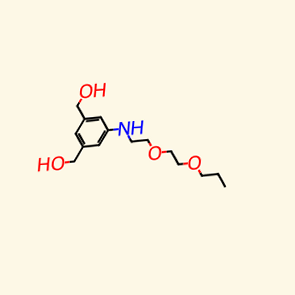 CCCOCCOCCNc1cc(CO)cc(CO)c1